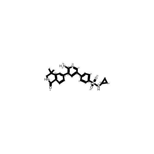 CC1(C)CNC(=O)c2ccc(-c3cc(-c4ccc(S(=O)(=O)NC5CC5)cc4)cnc3N)cc21